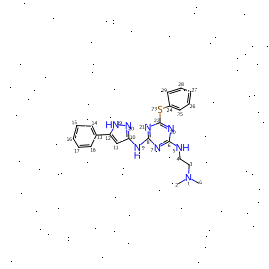 CN(C)CCNc1nc(Nc2cc(-c3ccccc3)[nH]n2)nc(Sc2ccccc2)n1